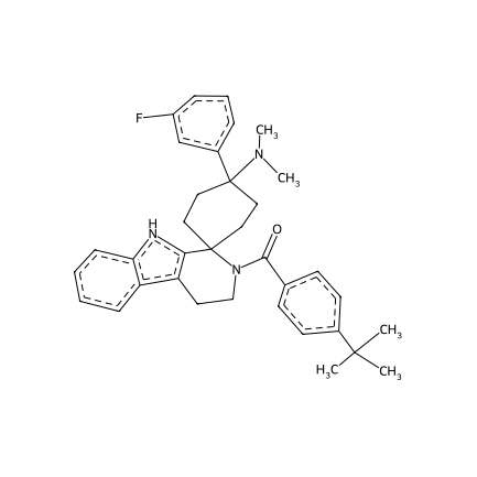 CN(C)C1(c2cccc(F)c2)CCC2(CC1)c1[nH]c3ccccc3c1CCN2C(=O)c1ccc(C(C)(C)C)cc1